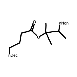 CCCCCCCCCCCCCC(=O)OC(C)(C)C(C)CCCCCCCCC